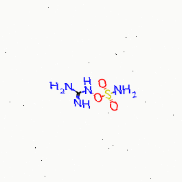 N=C(N)NOS(N)(=O)=O